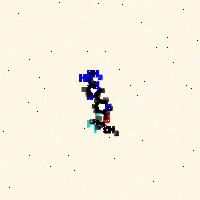 CC(Oc1ccc(-c2cnc(NN)cn2)cn1)C(F)(F)F